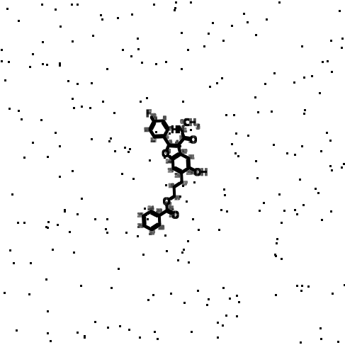 CNC(=O)c1c(-c2ccc(F)cc2)oc2cc(CCCOC(=O)c3ccccc3)c(O)cc12